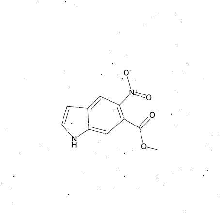 COC(=O)c1cc2[nH]ccc2cc1[N+](=O)[O-]